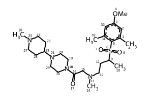 COc1cc(C)c(S(=O)(=O)C(C)CCN(C)CC(=O)N2CCN(C3CCN(C)CC3)CC2)c(C)c1